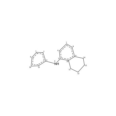 c1ccc(Nc2cccc3c2CCCC3)cc1